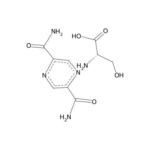 NC(=O)c1cnc(C(N)=O)cn1.N[C@@H](CO)C(=O)O